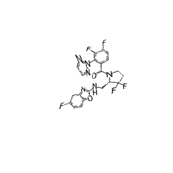 O=C(c1ccc(F)c(F)c1-n1nccn1)N1CCC(F)(F)[C@H]1CNc1nc2cc(F)ccc2o1